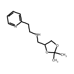 CC1(C)OCC(CNCCc2ccccn2)O1